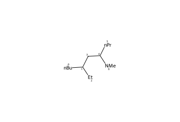 CCCCC(CC)CC(CCC)NC